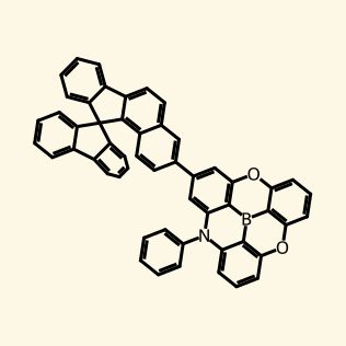 c1ccc(N2c3cccc4c3B3c5c(cccc5Oc5cc(-c6ccc7c8c(ccc7c6)-c6ccccc6C86c7ccccc7-c7ccccc76)cc2c53)O4)cc1